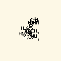 CN[C@@H](C)C(=O)N[C@H](C(=O)NC(=O)[C@@H]1CCCN1)C(C)(C)Cc1cc2c(Nc3cccnc3Cl)ncnc2cc1OC